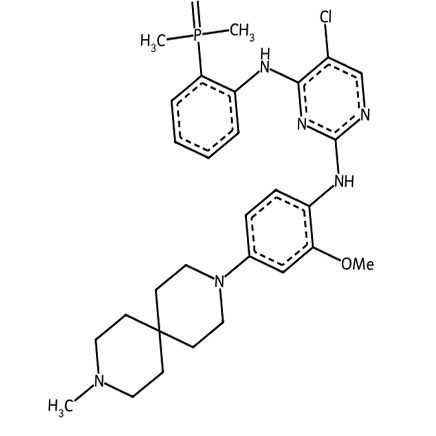 COc1cc(N2CCC3(CCN(C)CC3)CC2)ccc1Nc1ncc(Cl)c(Nc2ccccc2P(C)(C)=S)n1